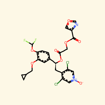 O=C(COC(=O)c1cocn1)O[C@@H](Cc1c(Cl)c[n+]([O-])cc1Cl)c1ccc(OC(F)F)c(OCC2CC2)c1